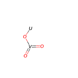 [O]=[V](=[O])[O][U]